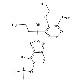 CCCC(O)(c1nc2ccc(OC(F)(F)F)c(Br)c2s1)c1cncc(OC)c1OCC